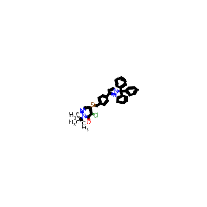 CC(C)(C)n1ncc(SCc2ccc(-c3ccn(C(c4ccccc4)(c4ccccc4)c4ccccc4)n3)cc2)c(Cl)c1=O